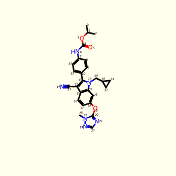 CC(C)OC(=O)Nc1ccc(-c2c(C#N)c3ccc(Oc4ncnn4C)cc3n2CC2CC2)cc1